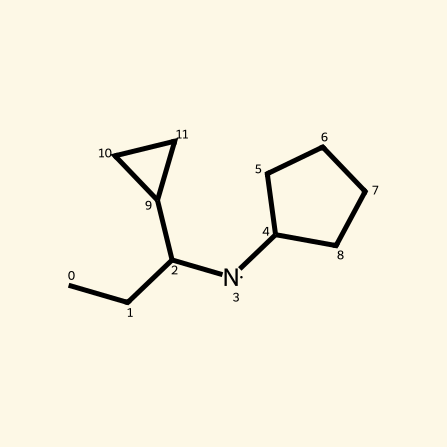 CCC([N]C1CCCC1)C1CC1